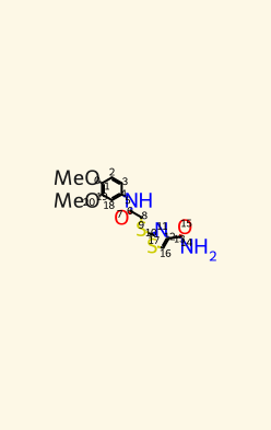 COc1ccc(NC(=O)CSc2nc(C(N)=O)cs2)cc1OC